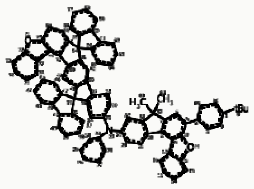 CC(C)(C)c1ccc(-c2cc3c(c4c2oc2ccccc24)-c2ccc(N(c4ccccc4)c4ccc5c(c4)C4(c6ccccc6-c6ccccc64)c4cc6c(cc4-5)C4(c5ccccc5-c5ccccc54)c4ccc5oc7ccccc7c5c4-6)cc2C3(C)C)cc1